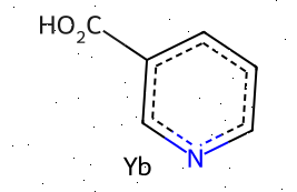 O=C(O)c1cccnc1.[Yb]